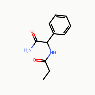 CCC(=O)NC(C(N)=O)c1ccccc1